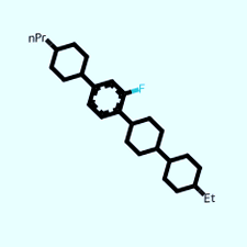 CCCC1CCC(c2ccc(C3CCC(C4CCC(CC)CC4)CC3)c(F)c2)CC1